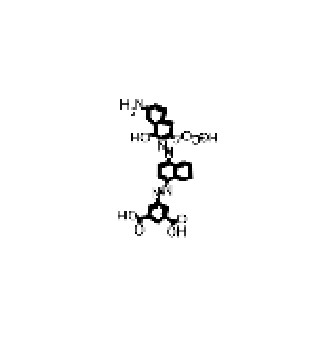 Nc1ccc2cc(SOOO)c(/N=N/c3ccc(/N=N/c4cc(C(=O)O)cc(C(=O)O)c4)c4ccccc34)c(O)c2c1